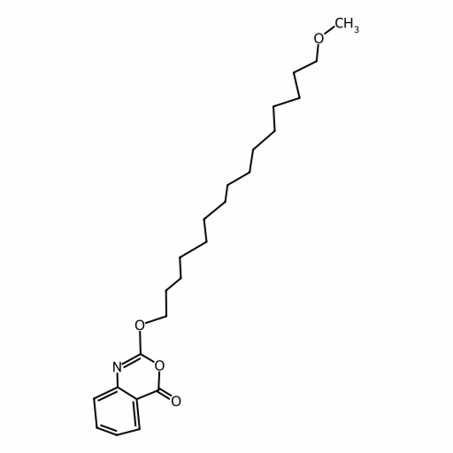 COCCCCCCCCCCCCCCCOc1nc2ccccc2c(=O)o1